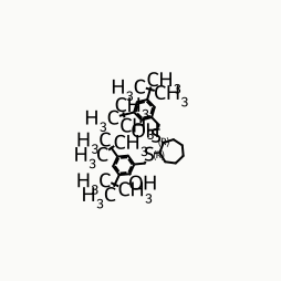 CC(C)(C)c1cc(CS[C@@H]2CCCCC[C@H]2SCc2cc(C(C)(C)C)cc(C(C)(C)C)c2O)c(O)c(C(C)(C)C)c1